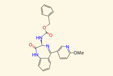 COc1ccc(C2=N[C@H](NC(=O)OCc3ccccc3)C(=O)Nc3ccccc32)cn1